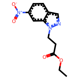 CCOC(=O)CCn1ncc2ccc([N+](=O)[O-])cc21